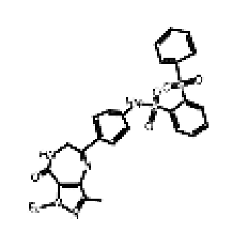 CCn1nc(C)c2c1C(=O)NCC(c1ccc(NS(=O)(=O)c3ccccc3S(=O)(=O)c3ccccc3)cc1)=N2